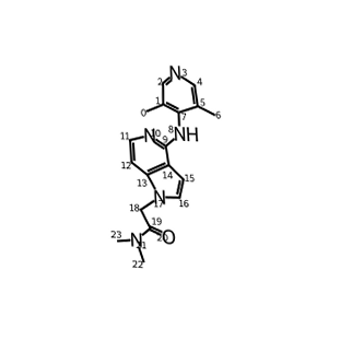 Cc1cncc(C)c1Nc1nccc2c1ccn2CC(=O)N(C)C